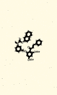 COc1cc(O)c(C(=O)C=Cc2ccccc2)c(OC)c1.Cc1cccc(N(C)C(=S)Oc2ccc3ccccc3c2)c1